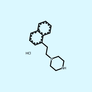 Cl.c1ccc2c(CCN3CCNCC3)cccc2c1